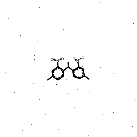 Cc1ccc(C(C)c2ccc(C)cc2[N+](=O)[O-])c([N+](=O)[O-])c1